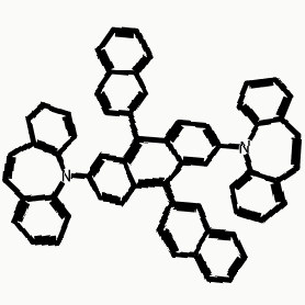 C1=CC2=C(C=Cc3ccccc3N2c2ccc3c(-c4ccc5ccccc5c4)c4cc(N5c6ccccc6C=Cc6ccccc65)ccc4c(-c4ccc5ccccc5c4)c3c2)CC1